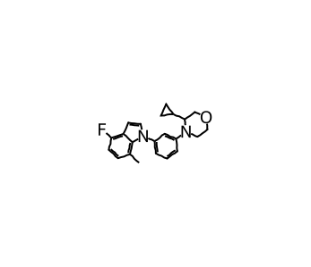 Cc1ccc(F)c2ccn(-c3cccc(N4CCOCC4C4CC4)c3)c12